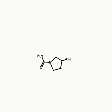 NC(=O)N1C[CH]C(O)C1